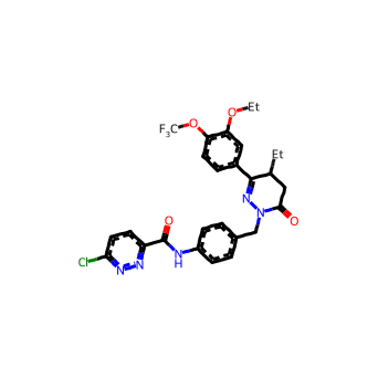 CCOc1cc(C2=NN(Cc3ccc(NC(=O)c4ccc(Cl)nn4)cc3)C(=O)CC2CC)ccc1OC(F)(F)F